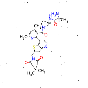 Cc1cc(C)c(C(=O)N2CC[C@H](NC(=O)[C@H](C)N)C2)c(-c2ccnc3cc(CN4C(=O)C5C(C4=O)C5(C)C)sc23)n1